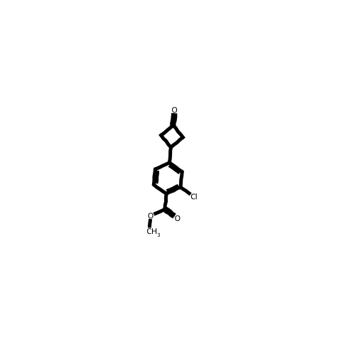 COC(=O)c1ccc(C2CC(=O)C2)cc1Cl